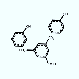 O=C(O)c1cc(C(=O)O)cc(S(=O)(=O)O)c1.Oc1ccccc1.Oc1ccccc1